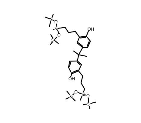 CC(C)(c1ccc(O)c(CCC[Si](C)(O[Si](C)(C)C)O[Si](C)(C)C)c1)c1ccc(O)c(CCC[Si](C)(O[Si](C)(C)C)O[Si](C)(C)C)c1